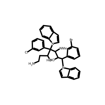 CNC(C(O)C(c1cccc(Br)c1)n1ccc2ccccc21)C(c1cccc(Cl)c1)(C(O)CCN)n1ccc2ccccc21